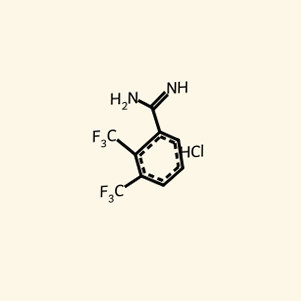 Cl.N=C(N)c1cccc(C(F)(F)F)c1C(F)(F)F